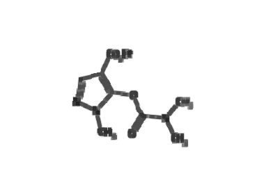 CCOC(=O)c1cnn(C)c1OC(=O)N(C)C